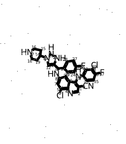 N#Cc1cnc2c(Cl)cc(N[C@@H](C3=CN(C4CCNCC4)NN3)c3ccc(F)cc3)cc2c1Nc1ccc(F)c(Cl)c1